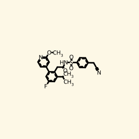 COc1cc(-c2cc(F)cc(C(C)C)c2CC(=O)NS(=O)(=O)c2ccc(CC#N)cc2)ccn1